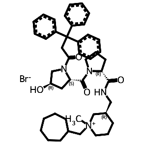 C[N+]1(CC2CCCCCC2)CCC[C@H](CNC(=O)[C@H]2CCCN2C(=O)[C@@H]2C[C@@H](O)CN2C(=O)CC(c2ccccc2)(c2ccccc2)c2ccccc2)C1.[Br-]